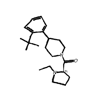 CCN1CCC[C@@H]1C(=O)N1CCC(c2ccccc2C(C)(C)C)CC1